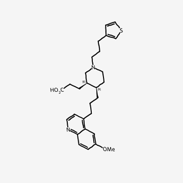 COc1ccc2nccc(CCC[C@@H]3CCN(CCCc4ccsc4)C[C@@H]3CCC(=O)O)c2c1